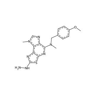 COc1ccc(CN(C)c2nc3sc(NN)nc3c3c2ncn3C)cc1